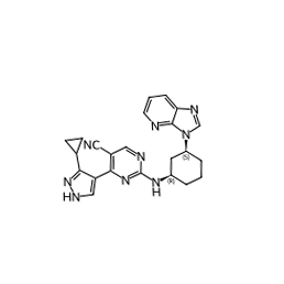 N#Cc1cnc(N[C@@H]2CCC[C@H](n3cnc4cccnc43)C2)nc1-c1c[nH]nc1C1CC1